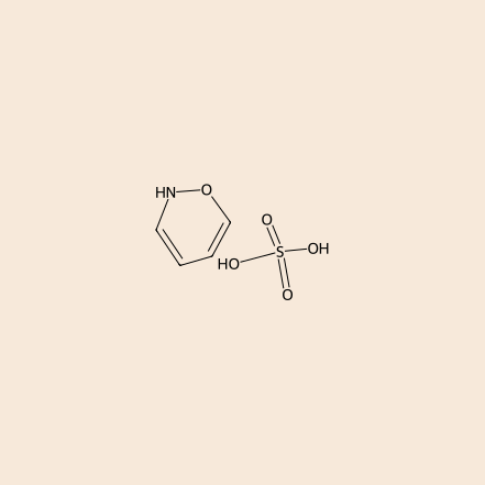 C1=CNOC=C1.O=S(=O)(O)O